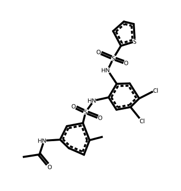 CC(=O)Nc1ccc(C)c(S(=O)(=O)Nc2cc(Cl)c(Cl)cc2NS(=O)(=O)c2cccs2)c1